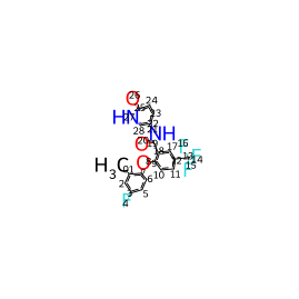 Cc1cc(F)ccc1Oc1ccc(C(F)(F)F)cc1C(=O)Nc1ccc(=O)[nH]c1